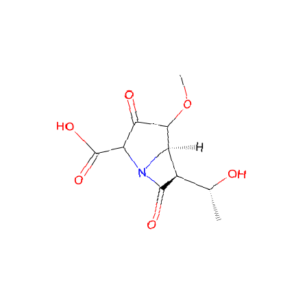 COC1C(=O)C(C(=O)O)N2C(=O)[C@H]([C@@H](C)O)[C@H]12